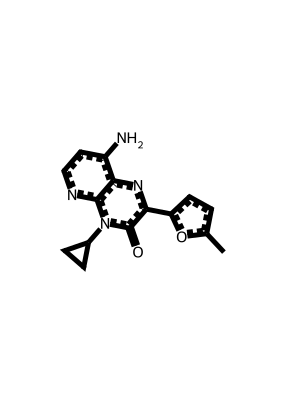 Cc1ccc(-c2nc3c(N)ccnc3n(C3CC3)c2=O)o1